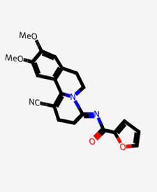 COc1cc2c(cc1OC)C1=C(C#N)CCC(=NC(=O)c3ccco3)N1CC2